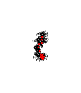 C=C1CC23CCC4[C@](C)(C(=O)OC5OC(CO)C(O)C(OC6OC(COC7OC(CO)C(O)C(O)C7O)C(O)C(O)C6O)C5OC5OC(CO)C(O)CC5O)CCC[C@@]4(C)[C@@H]2CC[C@]1(OC1OC(CO)C(O)C(OC2OC(CO)C(O)C(O)C2O)C1OC1OC(CO)C(O)C(O)C1O)C3